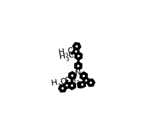 CC1(C)c2ccccc2-c2ccc(-c3ccc(N(c4cccc(-c5cccc6c5C(C)(C)c5ccccc5-6)c4)c4ccc5c(c4)C4(CC6CCC4C6)c4ccccc4-5)cc3)cc21